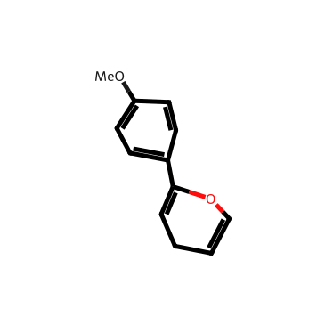 COc1ccc(C2=CCC=CO2)cc1